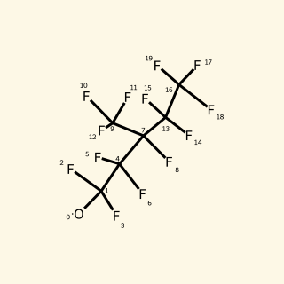 [O]C(F)(F)C(F)(F)C(F)(C(F)(F)F)C(F)(F)C(F)(F)F